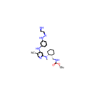 CN(c1cc(Nc2cccc(N/N=C\C=N)c2)c(C#N)cn1)[C@@H]1CCCC[C@@H]1CNC(=O)OC(C)(C)C